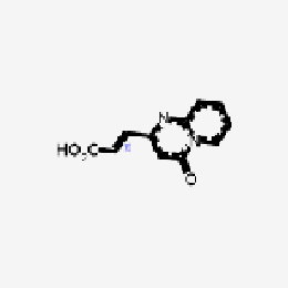 O=C(O)/C=C/c1cc(=O)n2ccccc2n1